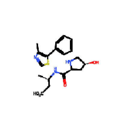 C[C@@H](CC(=O)O)NC(=O)[C@@H]1C[C@@H](O)CN1.Cc1ncsc1-c1ccccc1